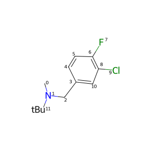 CN(Cc1ccc(F)c(Cl)c1)C(C)(C)C